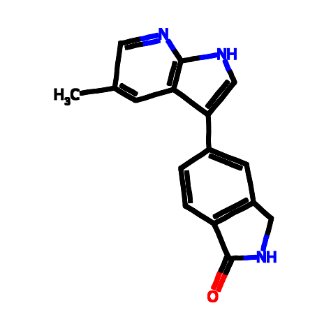 Cc1cnc2[nH]cc(-c3ccc4c(c3)CNC4=O)c2c1